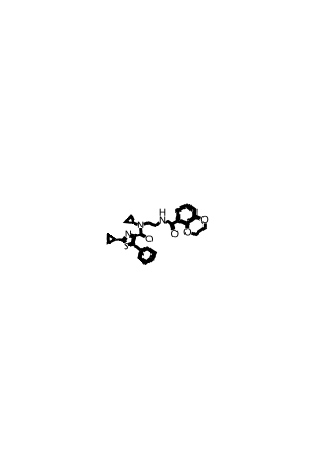 O=C(NCCN(C(=O)c1nc(C2CC2)sc1-c1ccccc1)C1CC1)c1cccc2c1OCCO2